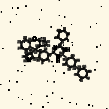 c1ccc(C2=NC(c3ccc4c(c3)C3(c5ccccc5Oc5ccccc53)c3cccnc3-4)NC(c3ccc(-c4ccccc4)cc3)N2)cc1